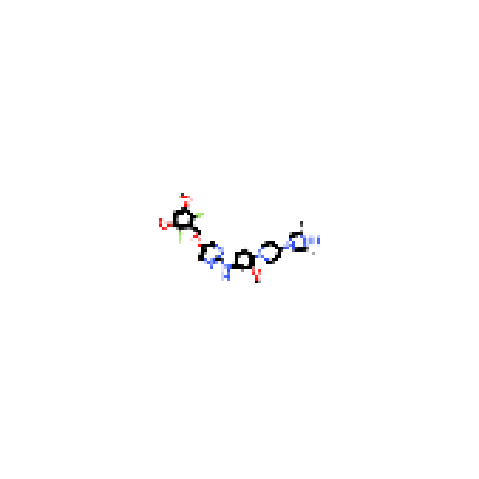 COc1cc(Nc2ncc(OCc3c(F)c(OC)cc(OC)c3F)cn2)ccc1N1CCC(N2C[C@@H](C)N[C@@H](C)C2)CC1